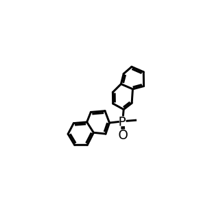 CP(=O)(c1ccc2ccccc2c1)c1ccc2ccccc2c1